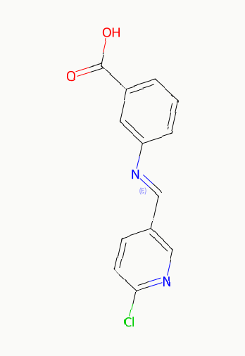 O=C(O)c1cccc(/N=C/c2ccc(Cl)nc2)c1